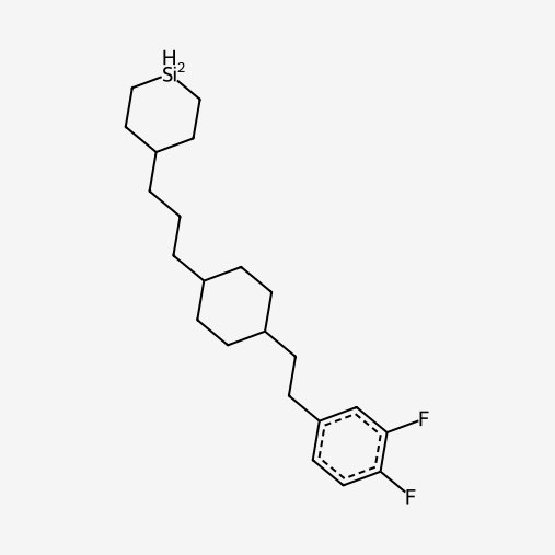 Fc1ccc(CCC2CCC(CCCC3CC[SiH2]CC3)CC2)cc1F